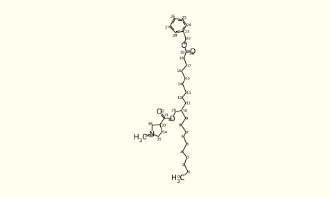 CCCCCCCCCCC(CCCCCCCCC(=O)OCc1ccccc1)COC(=O)C1CCN(C)C1